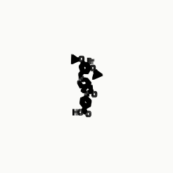 O=C(O)c1ccc(N2CC3(CCN(Cc4cc(OC5CC5)c(Br)c(OC5CC5)c4)CC3)CC2=O)cc1